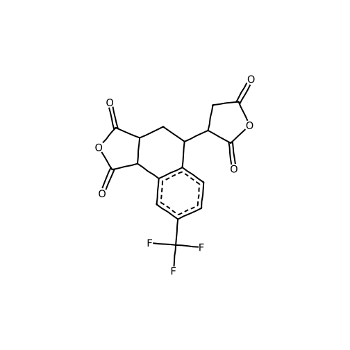 O=C1CC(C2CC3C(=O)OC(=O)C3c3cc(C(F)(F)F)ccc32)C(=O)O1